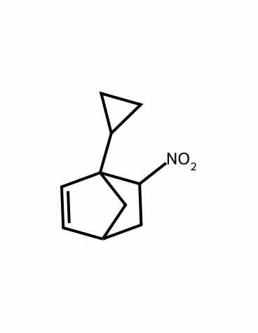 O=[N+]([O-])C1CC2C=CC1(C1CC1)C2